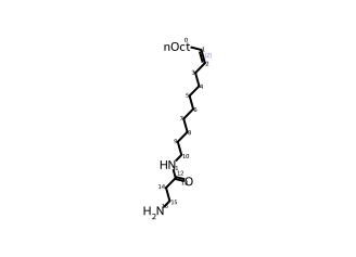 CCCCCCCC/C=C\CCCCCCCCNC(=O)CCN